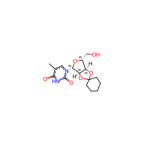 Cc1cn([C@@H]2O[C@H](CO)[C@H]3OC4(CCCCC4)O[C@H]32)c(=O)[nH]c1=O